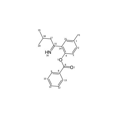 Cc1ccc(OC(=O)c2ccccc2)c(C(=N)CC(C)C)c1